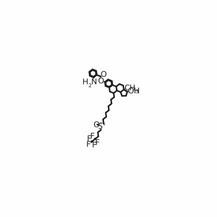 CC12CCC3c4ccc(OC(=O)c5ccccc5N)cc4CC(CCCCCCCCC[S+]([O-])CCCC(F)(F)C(F)(F)F)C3C1CCC2O